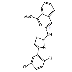 COC(=O)c1ccccc1/C=N/Nc1nc(-c2cc(Cl)ccc2Cl)cs1